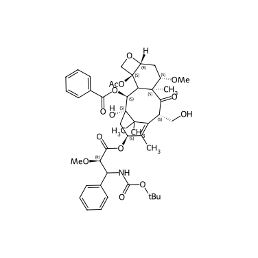 CO[C@H]1C[C@H]2OC[C@@]2(OC(C)=O)C2[C@H](OC(=O)c3ccccc3)[C@]3(O)C[C@H](OC(=O)[C@H](OC)C(NC(=O)OC(C)(C)C)c4ccccc4)C(C)=C([C@@H](CO)C(=O)[C@@]21C)C3(C)C